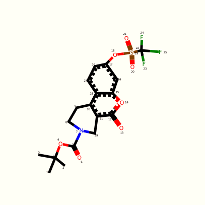 CC(C)(C)OC(=O)N1CCc2c(c(=O)oc3cc(OS(=O)(=O)C(F)(F)F)ccc23)C1